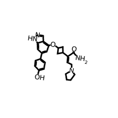 NC(=O)C(=CCN1CCCC1)C1CC(Oc2cc(-c3ccc(O)cc3)cc3[nH]ncc23)C1